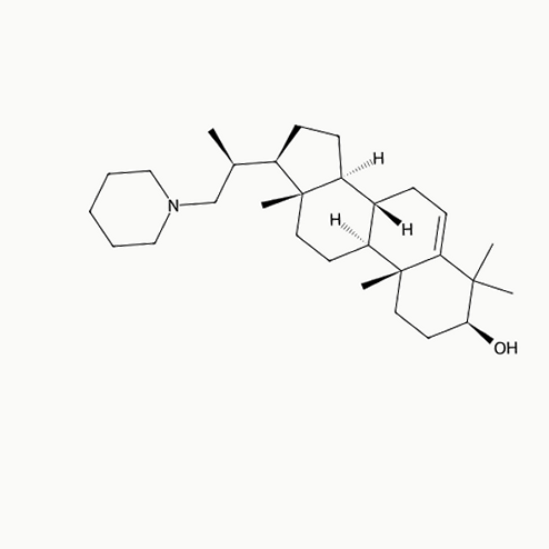 C[C@H](CN1CCCCC1)[C@H]1CC[C@H]2[C@@H]3CC=C4C(C)(C)[C@@H](O)CC[C@]4(C)[C@H]3CC[C@]12C